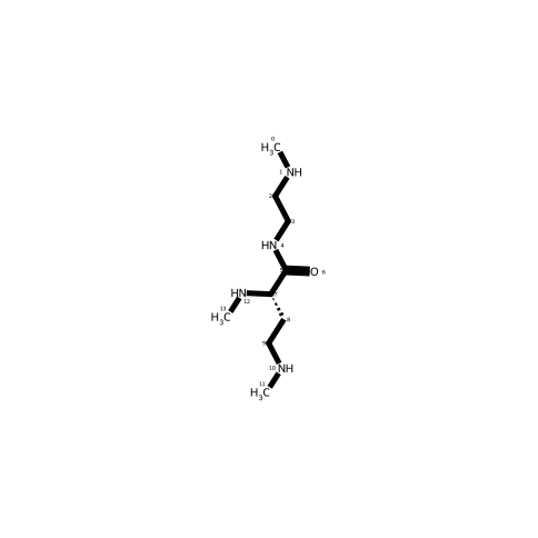 CNCCNC(=O)[C@H](CCNC)NC